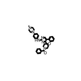 CN1CCN(c2ccc(Nc3ncc4c(n3)C3(CCN(C(=O)c5ccccc5)CC3)Oc3ccccc3-4)cc2)CC1